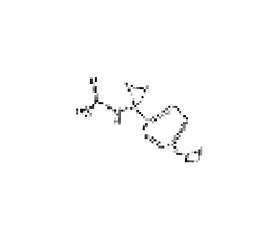 O=C(O)NC1(c2ccc(Cl)cc2)CC1